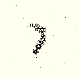 COC(=O)c1ccnc(N2CC3(CCN(S(=O)(=O)c4ccc(-c5cccs5)cc4)C3)C2)n1